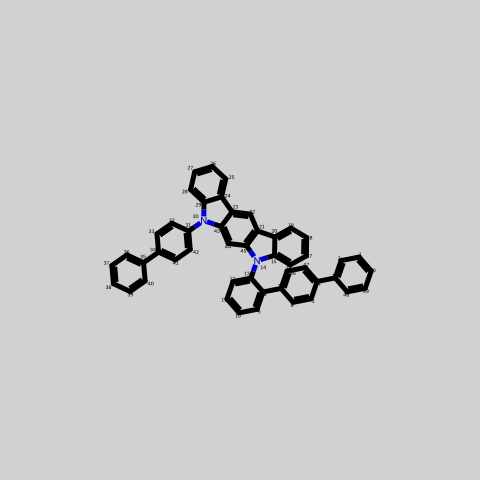 c1ccc(-c2ccc(-c3ccccc3-n3c4ccccc4c4cc5c6ccccc6n(-c6ccc(-c7ccccc7)cc6)c5cc43)cc2)cc1